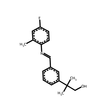 Cc1cc(F)ccc1/N=C/c1cccc(C(C)(C)CO)c1